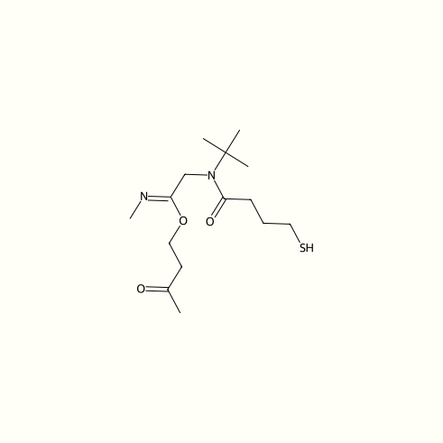 CN=C(CN(C(=O)CCCS)C(C)(C)C)OCCC(C)=O